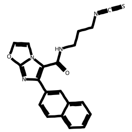 O=C(NCCCN=C=S)c1c(-c2ccc3ccccc3c2)nc2occn12